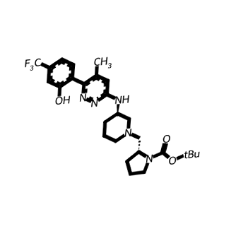 Cc1cc(N[C@@H]2CCCN(C[C@H]3CCCN3C(=O)OC(C)(C)C)C2)nnc1-c1ccc(C(F)(F)F)cc1O